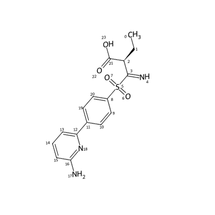 CC[C@@H](C(=N)S(=O)(=O)c1ccc(-c2cccc(N)n2)cc1)C(=O)O